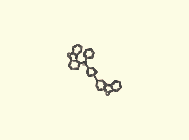 c1ccc(N(c2ccc(-c3ccc4oc5ccccc5c4c3)cc2)c2cccc3oc4ccccc4c23)cc1